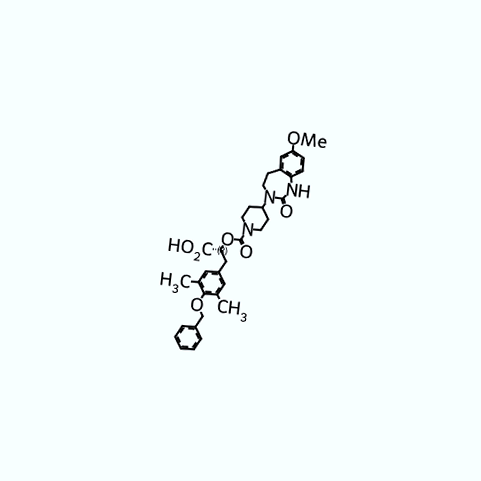 COc1ccc2c(c1)CCN(C1CCN(C(=O)O[C@H](Cc3cc(C)c(OCc4ccccc4)c(C)c3)C(=O)O)CC1)C(=O)N2